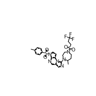 Cc1ccc(S(=O)(=O)n2ccc3c2ncc2cnc(N4CCN(S(=O)(=O)CCC(F)(F)F)CCC4C)n23)cc1